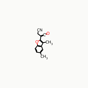 Cc1ccc2oc(C(=C=O)CC#N)c(C)c2c1